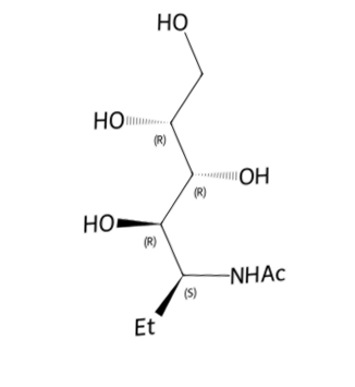 CC[C@H](NC(C)=O)[C@@H](O)[C@@H](O)[C@H](O)CO